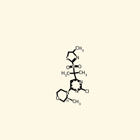 CC1CSC(S(=O)(=O)C(C)(C)c2cc(N3CCOC[C@@H]3C)nc(Cl)n2)=N1